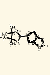 CC1(C)OB(c2ccc3cnoc3c2)OC1(C)C